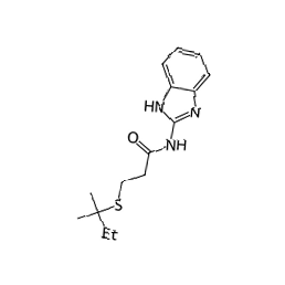 CCC(C)(C)SCCC(=O)Nc1nc2ccccc2[nH]1